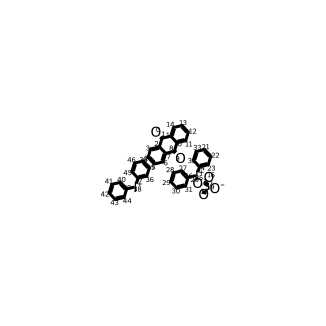 O=C1c2ccccc2C(=O)c2ccccc21.O=S(=O)([O-])[O-].c1ccc([I+]c2ccccc2)cc1.c1ccc([I+]c2ccccc2)cc1